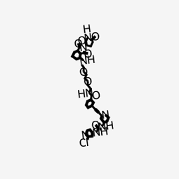 O=C1CCC(N2C(=O)c3cccc(NCCOCCOCCNC(=O)c4cccc(C#Cc5cc(NC(=O)Nc6ccnc(Cl)c6)ccn5)c4)c3C2=O)C(=O)N1